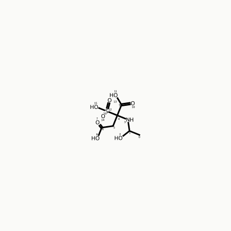 CC(O)NC(CC(=O)O)(C(=O)O)S(=O)(=O)O